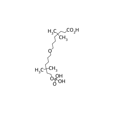 CC(C)(CCCCOCCCCC(C)(C)CCC(=O)O)CCOP(=O)(O)O